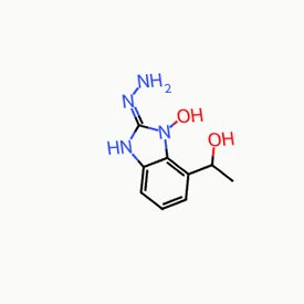 CC(O)c1cccc2[nH]c(=NN)n(O)c12